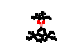 CC1(C)OB(c2cc([Si](C)(C)C)cc([Si](C)(C)C)c2)OC1(C)C